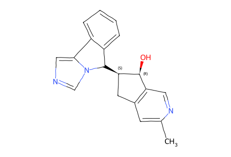 Cc1cc2c(cn1)[C@H](O)[C@H](C1c3ccccc3-c3cncn31)C2